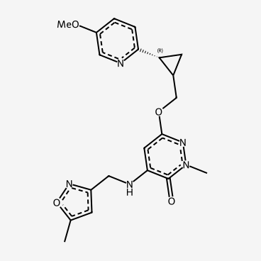 COc1ccc([C@@H]2CC2COc2cc(NCc3cc(C)on3)c(=O)n(C)n2)nc1